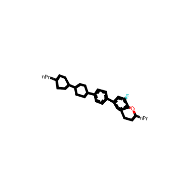 CCCC1CCC(C2CCC(c3ccc(-c4cc(F)c5c(c4)CCC(CCC)O5)cc3)CC2)CC1